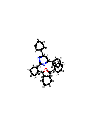 c1ccc(-c2cc(-c3ccccc3)nc(-c3ccccc3-c3oc(-c4ccccc4)c4ccccc34)n2)cc1